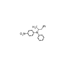 CC(C)CC(C)N(c1ccccc1)c1ccc([N+](=O)[O-])cc1